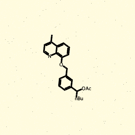 CCCCC(OC(C)=O)c1cccc(COc2cccc3c(C)ccnc23)c1